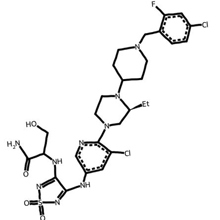 CC[C@H]1CN(c2ncc(NC3=NS(=O)(=O)N=C3NC(CO)C(N)=O)cc2Cl)CCN1C1CCN(Cc2ccc(Cl)cc2F)CC1